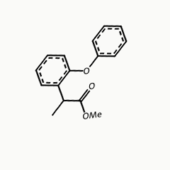 COC(=O)C(C)c1ccccc1Oc1ccccc1